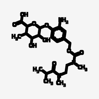 CC(C)C(=O)N(C)CCN(C)C(=O)OCc1ccc(OC2OC(C(=O)O)C(C)C(O)C2O)c(N)c1